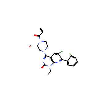 C=CC(=O)N1CCN(c2nc(=O)n(CC(C)(C)C)c3nc(-c4ccccc4F)c(Cl)cc23)C[C@@H]1CO